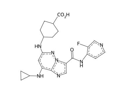 O=C(Nc1ccncc1F)c1cnc2c(NC3CC3)cc(NC3CCC(C(=O)O)CC3)nn12